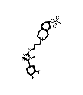 Cn1c(SCCCN2CCc3ccc(OS(C)(=O)=O)cc3CC2)nnc1-c1ccc(F)c(F)c1